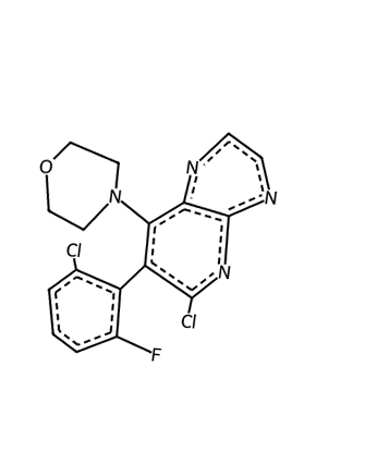 Fc1cccc(Cl)c1-c1c(Cl)nc2nccnc2c1N1CCOCC1